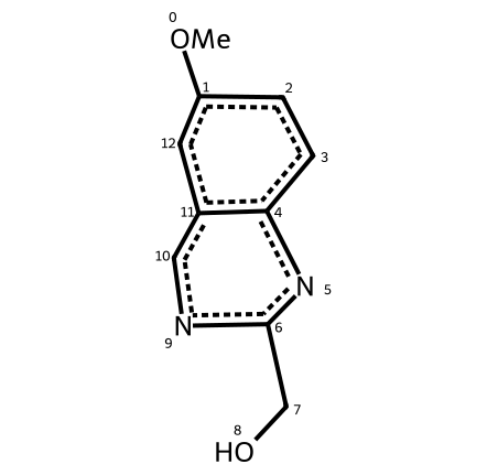 COc1ccc2nc(CO)ncc2c1